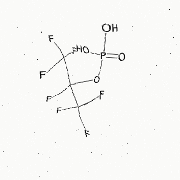 O=P(O)(O)OC(F)(C(F)(F)F)C(F)(F)F